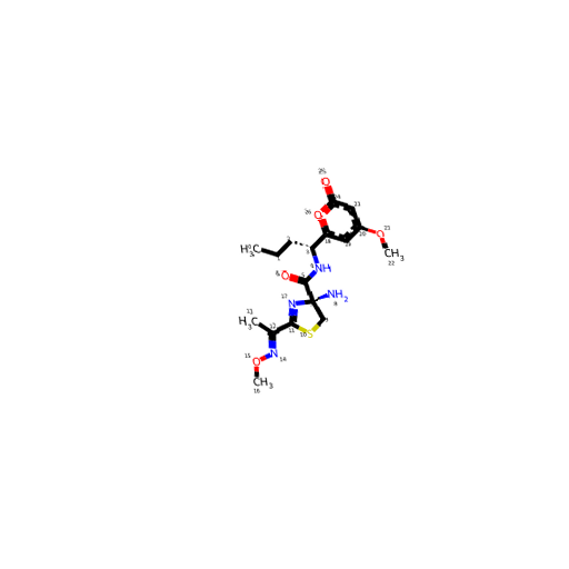 CCC[C@@H](NC(=O)[C@]1(N)CSC(/C(C)=N/OC)=N1)c1cc(OC)cc(=O)o1